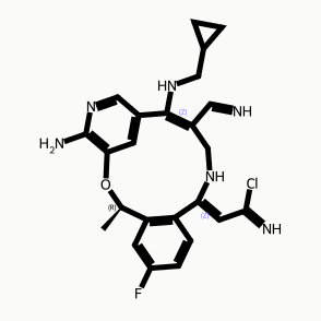 C[C@H]1Oc2cc(cnc2N)/C(NCC2CC2)=C(/C=N)CN/C(=C\C(=N)Cl)c2ccc(F)cc21